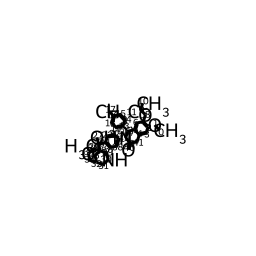 COc1cc2c(cc1OC(C)C)[C@H](c1ccc(Cl)cc1)N(c1ccc(C(C)(O)C34CNCC(COC3)C4)cc1)C(=O)C2